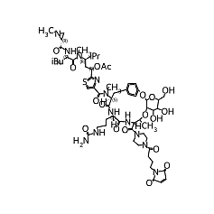 CC[C@H](C)[C@H](NC(=O)[C@H]1CN1C)C(=O)N(C)[C@H](C[C@@H](OC(C)=O)c1nc(C(=O)N(C)[C@H]2Cc3ccc(cc3)OC3OC(CO)C(O)C(O)C3OC(C)[C@@H](C(=O)N3CCN(C(=O)CCCN4C(=O)C=CC4=O)CC3)NC(=O)[C@H](CCCNC(N)=O)NC2=O)cs1)C(C)C